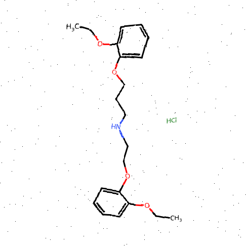 CCOc1ccccc1OCCCNCCOc1ccccc1OCC.Cl